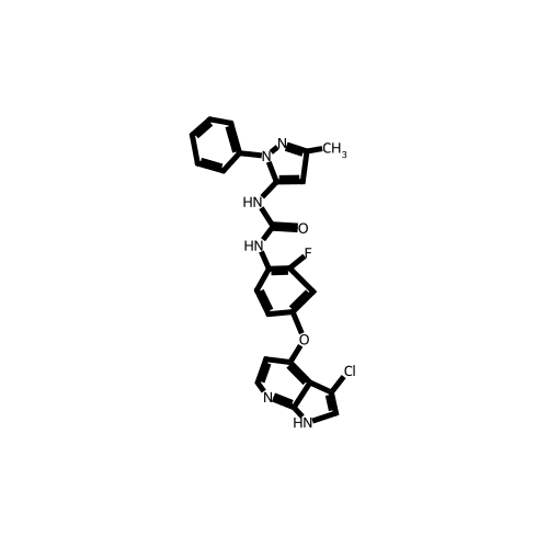 Cc1cc(NC(=O)Nc2ccc(Oc3ccnc4[nH]cc(Cl)c34)cc2F)n(-c2ccccc2)n1